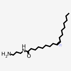 CCCCCCCC/C=C\CCCCCCCC(=O)NCCCN